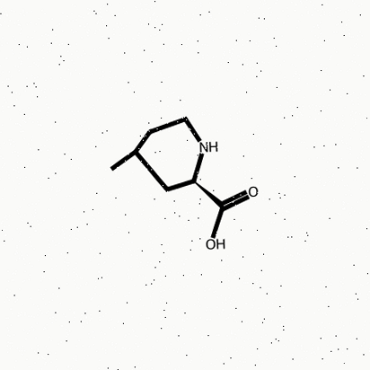 CC1CCN[C@@H](C(=O)O)C1